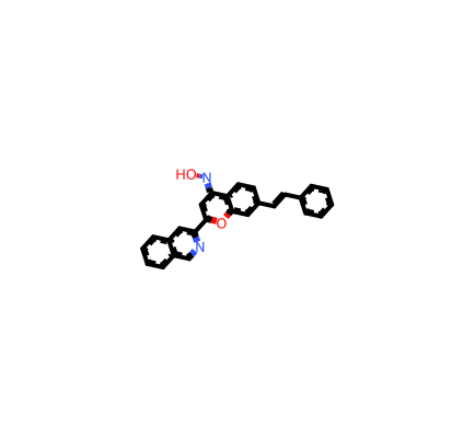 O/N=c1\cc(-c2cc3ccccc3cn2)oc2cc(/C=C/c3ccccc3)ccc12